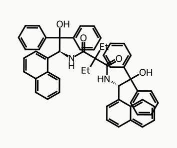 CCC(CC)(C(=O)N[C@@H](c1cccc2ccccc12)C(O)(c1ccccc1)c1ccccc1)C(=O)N[C@@H](c1cccc2ccccc12)C(O)(c1ccccc1)c1ccccc1